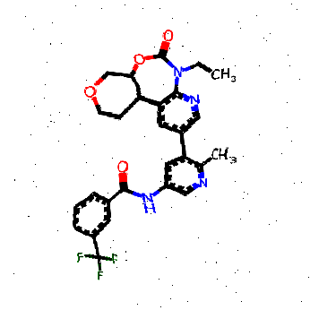 CCN1C(=O)OC2COCCC2c2cc(-c3cc(NC(=O)c4cccc(C(F)(F)F)c4)cnc3C)cnc21